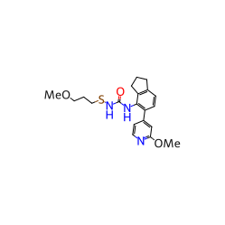 COCCCSNC(=O)Nc1c(-c2ccnc(OC)c2)ccc2c1CCC2